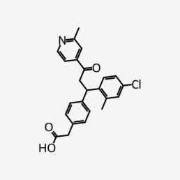 Cc1cc(C(=O)CC(c2ccc(CC(=O)O)cc2)c2ccc(Cl)cc2C)ccn1